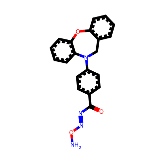 NON=NC(=O)c1ccc(N2Cc3ccccc3Oc3ccccc32)cc1